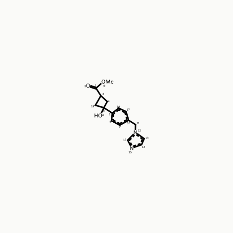 COC(=O)C1CC(O)(c2ccc(Cn3ccnc3)cc2)C1